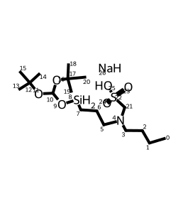 CCCCN(CCC[SiH2]OC(OC(C)(C)C)OC(C)(C)C)CS(=O)(=O)O.[NaH]